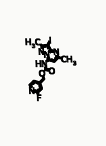 Cc1cc(NC(=O)OCc2ccnc(F)c2)n2nc(C)c(I)c2n1